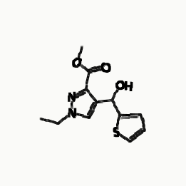 CCn1cc(C(O)c2cccs2)c(C(=O)OC)n1